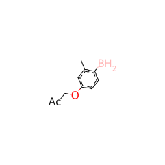 Bc1ccc(OCC(C)=O)cc1C